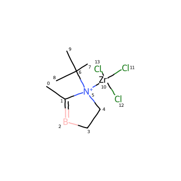 CC1=BCC[N+]1(C(C)(C)C)[Zr]([Cl])([Cl])[Cl]